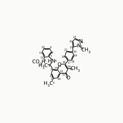 Cc1cc(C(C)Nc2ccccc2C(=O)O)c2oc(-c3ccc(-c4ccnn4C)cc3)c(C)c(=O)c2c1